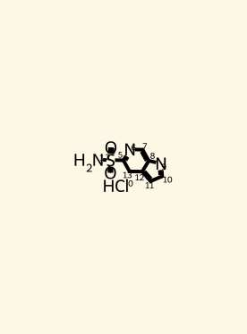 Cl.NS(=O)(=O)C1=NC=C2N=CC=C2C1